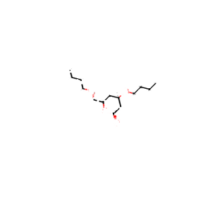 CCCCOCC1CC(OCCCC)CC(=O)O1